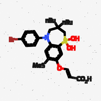 CCCCC1(CCCC)CN(c2ccc(Br)cc2)c2cc(SC)c(OC=CC(=O)O)cc2S(O)(O)C1